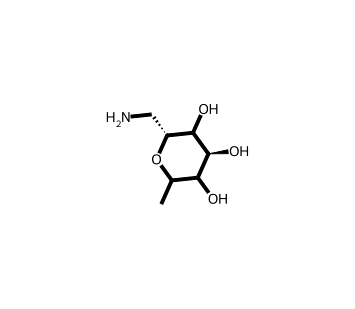 CC1O[C@H](CN)C(O)[C@@H](O)C1O